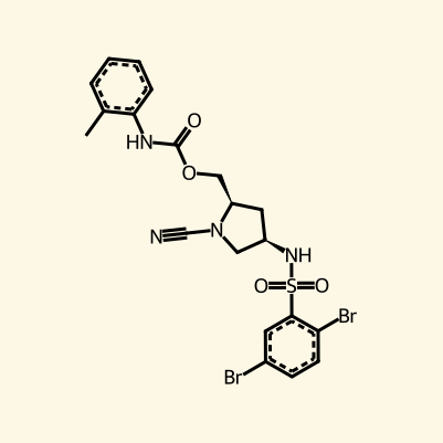 Cc1ccccc1NC(=O)OC[C@H]1C[C@@H](NS(=O)(=O)c2cc(Br)ccc2Br)CN1C#N